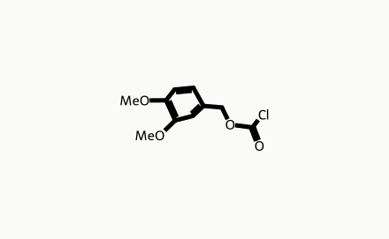 COc1ccc(COC(=O)Cl)cc1OC